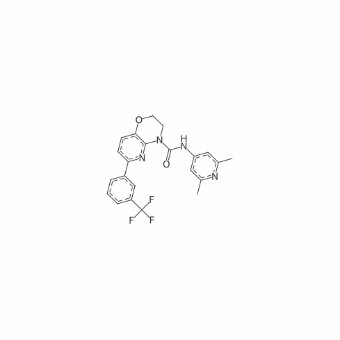 Cc1cc(NC(=O)N2CCOc3ccc(-c4cccc(C(F)(F)F)c4)nc32)cc(C)n1